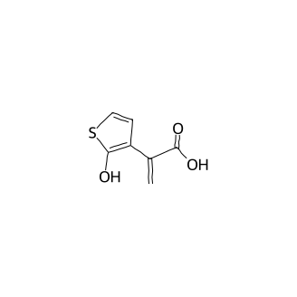 C=C(C(=O)O)c1ccsc1O